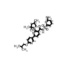 CC(C)COc1ccc(-c2ccc(C(=O)NS(=O)(=O)c3cccc(N)n3)c(N3CC(C)CC3(C)C)n2)cn1